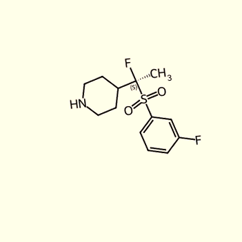 C[C@@](F)(C1CCNCC1)S(=O)(=O)c1cccc(F)c1